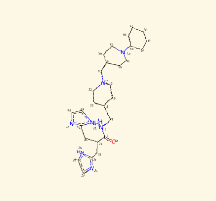 O=C(NCC1CCN(CC2CCN(C3CCCCC3)CC2)CC1)C(Cc1ncc[nH]1)Cc1ncc[nH]1